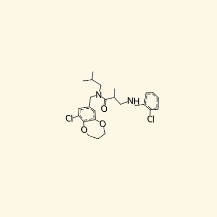 CC(C)CN(Cc1cc(Cl)c2c(c1)OCCCO2)C(=O)C(C)CNCc1ccccc1Cl